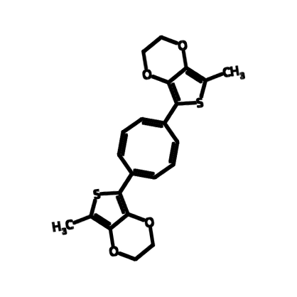 Cc1sc(C2=C/C=C\C(c3sc(C)c4c3OCCO4)=C/C=C\2)c2c1OCCO2